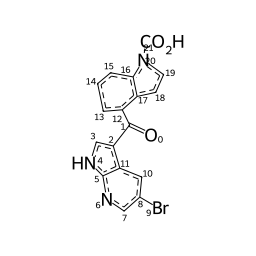 O=C(c1c[nH]c2ncc(Br)cc12)c1cccc2c1ccn2C(=O)O